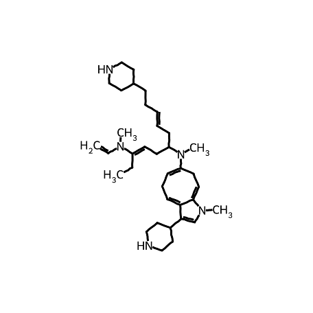 C=CN(C)/C(=C/CC(C/C=C/CCC1CCNCC1)N(C)/C1=C/C/C=c2/c(C3CCNCC3)cn(C)/c2=C/C1)CC